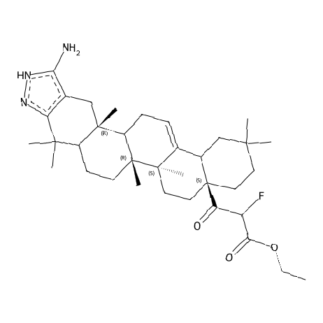 CCOC(=O)C(F)C(=O)[C@]12CCC(C)(C)CC1C1=CCC3[C@@]4(C)Cc5c(n[nH]c5N)C(C)(C)C4CC[C@@]3(C)[C@]1(C)CC2